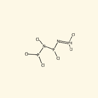 ClN(P(Cl)Cl)P(Cl)N=[PH](Cl)Cl